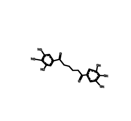 O=C(CCCCC(=O)c1cc(O)c(O)c(O)c1)c1cc(O)c(O)c(O)c1